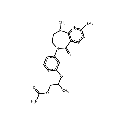 CSc1ncc2c(n1)N(C)CCN(c1cccc(OC(C)COC(N)=O)c1)C2=O